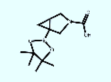 CC1(C)OB(C23CC2CN(C(=O)O)C3)OC1(C)C